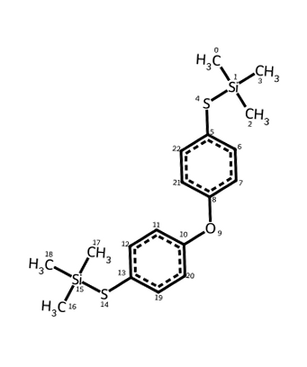 C[Si](C)(C)Sc1ccc(Oc2ccc(S[Si](C)(C)C)cc2)cc1